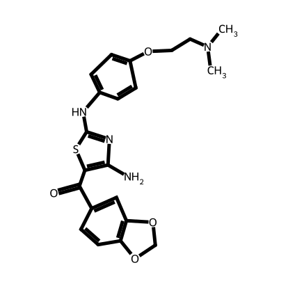 CN(C)CCOc1ccc(Nc2nc(N)c(C(=O)c3ccc4c(c3)OCO4)s2)cc1